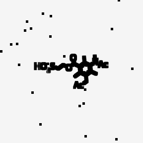 CC(=O)Cc1c(C)c(C(=O)OCCS(=O)(=O)O)c(C)c(N(C)C(C)=O)c1C